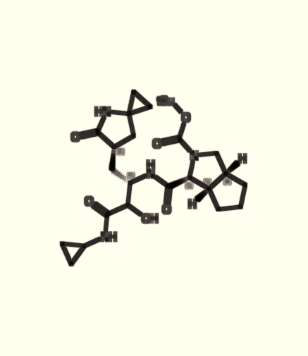 CC(C)(C)OC(=O)N1C[C@@H]2CCC[C@@H]2[C@H]1C(=O)N[C@@H](C[C@@H]1CC2(CC2)NC1=O)C(O)C(=O)NC1CC1